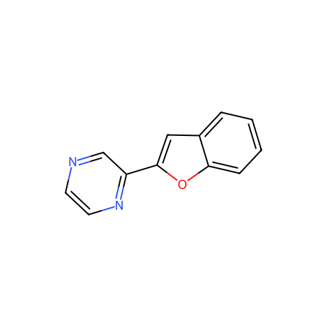 c1ccc2oc(-c3cnccn3)cc2c1